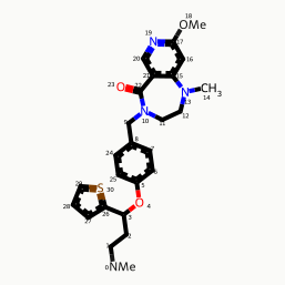 CNCCC(Oc1ccc(CN2CCN(C)c3cc(OC)ncc3C2=O)cc1)c1cccs1